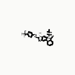 C/C=C(\O[Si](C)(C)C(C)(C)C)c1ccccc1-c1ccc2[nH]c(COc3ccc(C(F)(F)F)cc3)nc2c1